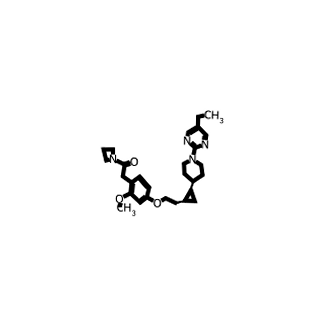 CCc1cnc(N2CCC([C@H]3C[C@H]3CCOc3ccc(CC(=O)N4CCC4)c(OC)c3)CC2)nc1